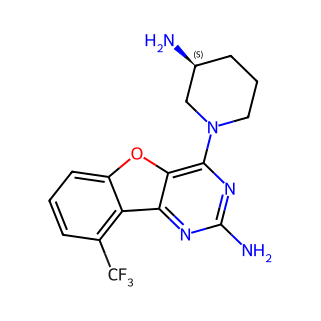 Nc1nc(N2CCC[C@H](N)C2)c2oc3cccc(C(F)(F)F)c3c2n1